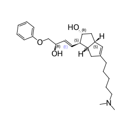 CN(C)CCCCCC1=C[C@H]2C[C@@H](O)[C@H](/C=C/[C@@H](O)COc3ccccc3)[C@H]2C1